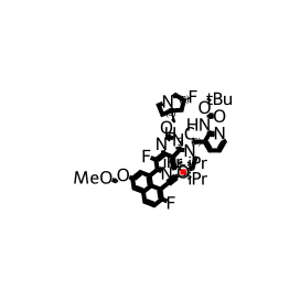 COCOc1cc(-c2nc3c4c(nc(OC[C@@]56CCN5C[C@H](F)C6)nc4c2F)N([C@H](C)c2cccnc2NC(=O)OC(C)(C)C)CCO3)c2c(C#C[Si](C(C)C)(C(C)C)C(C)C)c(F)ccc2c1